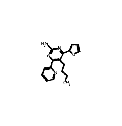 CCCCc1c(-c2ccccn2)nc(N)nc1-c1ccco1